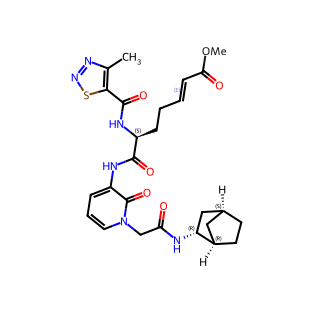 COC(=O)/C=C/CC[C@H](NC(=O)c1snnc1C)C(=O)Nc1cccn(CC(=O)N[C@@H]2C[C@H]3CC[C@@H]2C3)c1=O